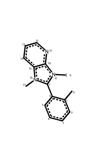 Cc1ccccc1-c1n(I)c2ncccc2[n+]1C